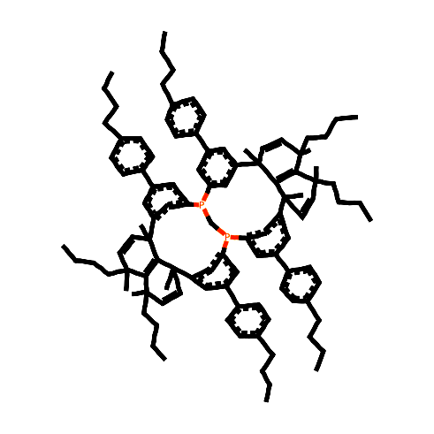 CCCCc1ccc(-c2cc3cc(c2)C2(C)C=CC(C)(CCCC)C4=C2C(C)(C=CC4(C)CCCC)c2cc(-c4ccc(CCCC)cc4)cc(c2)P2CP3c3cc(-c4ccc(CCCC)cc4)cc(c3)C3(C)C=CC(C)(CCCC)C4=C3C(C)(C=CC4(C)CCCC)c3cc(-c4ccc(CCCC)cc4)cc2c3)cc1